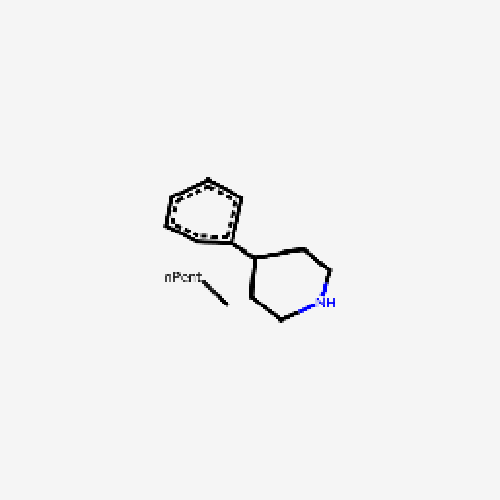 CCCCCC.c1ccc(C2CCNCC2)cc1